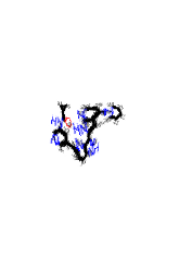 O=C(Nc1cncc(-c2ccc3[nH]nc(-c4cc5c(N6CCCCC6)ccnc5[nH]4)c3n2)c1)C1CC1